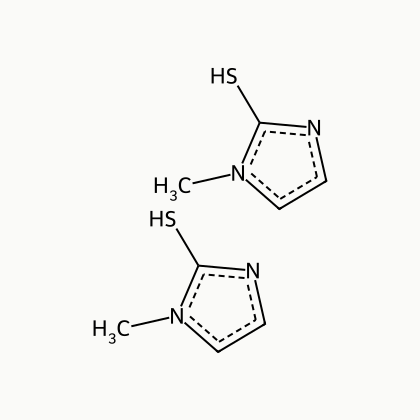 Cn1ccnc1S.Cn1ccnc1S